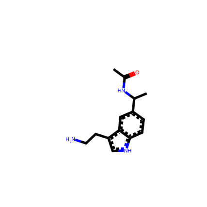 CC(=O)NC(C)c1ccc2[nH]cc(CCN)c2c1